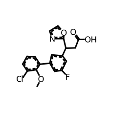 COc1c(Cl)cccc1-c1cc(F)cc(C(CC(=O)O)c2ncco2)c1